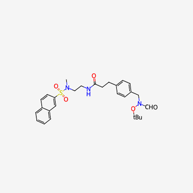 CN(CCNC(=O)CCc1ccc(CN(C=O)OC(C)(C)C)cc1)S(=O)(=O)c1ccc2ccccc2c1